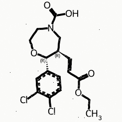 CCOC(=O)C=C[C@@H]1CN(C(=O)O)CCO[C@H]1c1ccc(Cl)c(Cl)c1